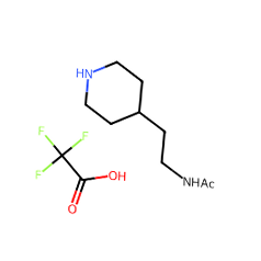 CC(=O)NCCC1CCNCC1.O=C(O)C(F)(F)F